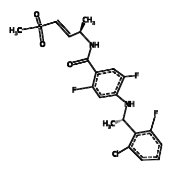 C[C@H](/C=C/S(C)(=O)=O)NC(=O)c1cc(F)c(N[C@@H](C)c2c(F)cccc2Cl)cc1F